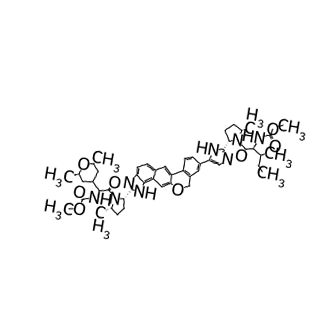 CCC(C)[C@H](NC(=O)OC)C(=O)N1[C@@H](C)CC[C@H]1c1ncc(-c2ccc3c(c2)COc2cc4c(ccc5nc([C@@H]6CC[C@H](C)N6C(=O)[C@@H](NC(=O)OC)C6CC(C)O[C@H](C)C6)[nH]c54)cc2-3)[nH]1